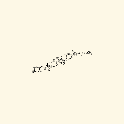 CCOCCNC(=O)c1ccc(C(=O)NS(=O)(=O)c2ccc(C(=O)NCCc3ccc(F)cc3)cc2)cn1